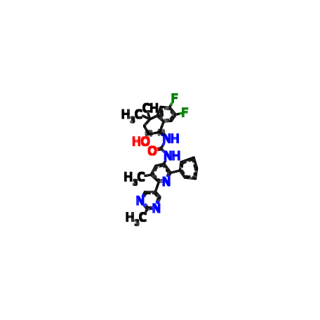 Cc1ncc(-c2nc(-c3ccccc3)c(NC(=O)N[C@@H]3c4cc(F)c(F)cc4C(C)(C)C[C@H]3O)cc2C)cn1